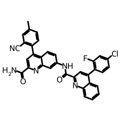 Cc1ccc(-c2cc(C(N)=O)nc3cc(NC(=O)c4cc(-c5ccc(Cl)cc5F)c5ccccc5n4)ccc23)c(C#N)c1